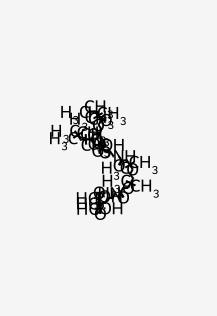 CC(C)(C)CC(C)(C)C(=O)OCC(COP(=O)(O)OCCNC(=O)CC(C)(C)OCCC(C)(C)OCC(=O)NCCCC(O)(P(=O)(O)O)P(=O)(O)O)OC(=O)C(C)(C)CC(C)(C)C